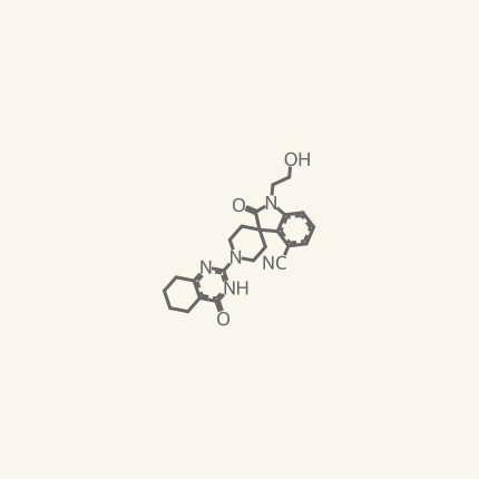 N#Cc1cccc2c1C1(CCN(c3nc4c(c(=O)[nH]3)CCCC4)CC1)C(=O)N2CCO